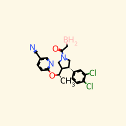 BCC(=O)N1CC([C@H](C)Oc2ccc(C#N)cn2)[C@@H](c2ccc(Cl)c(Cl)c2)C1